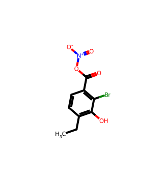 CCc1ccc(C(=O)O[N+](=O)[O-])c(Br)c1O